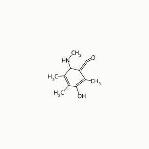 CNC1C(=C=O)C(C)=C(O)C(C)=C1C